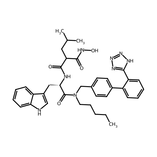 CCCCCN(Cc1ccc(-c2ccccc2-c2nnn[nH]2)cc1)C(=O)[C@H](Cc1c[nH]c2ccccc12)NC(=O)C(CC(C)C)C(=O)NO